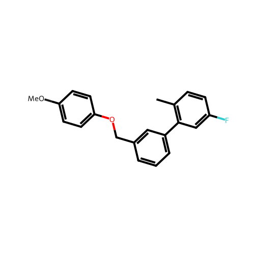 COc1ccc(OCc2cccc(-c3cc(F)ccc3C)c2)cc1